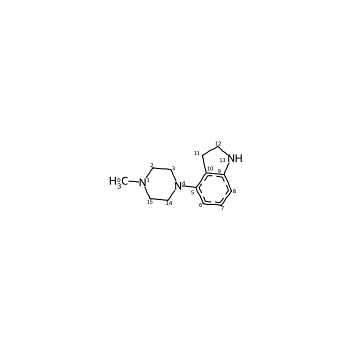 CN1CCN(c2cccc3c2CCN3)CC1